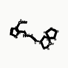 COc1ccsc1CNCC[C@H]1CCOC2(CCCC2)C1